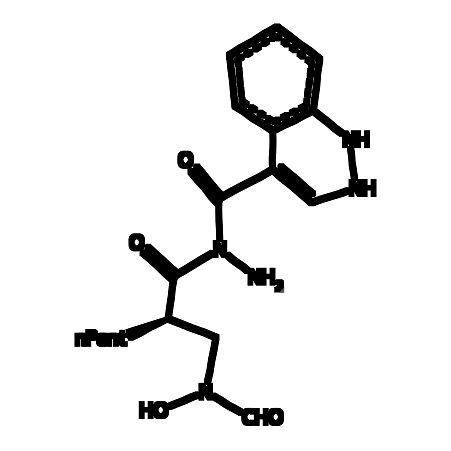 CCCCC[C@H](CN(O)C=O)C(=O)N(N)C(=O)C1=CNNc2ccccc21